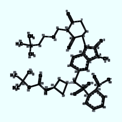 Cn1c(=O)n(C2CCC(=O)N(COCC[Si](C)(C)C)C2=O)c2ccc(N([C@H]3C[C@H](NC(=O)OC(C)(C)C)C3)S(=O)(=O)c3ccccc3[N+](=O)[O-])cc21